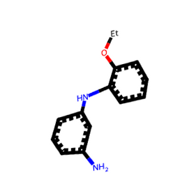 CCOc1ccccc1Nc1cccc(N)c1